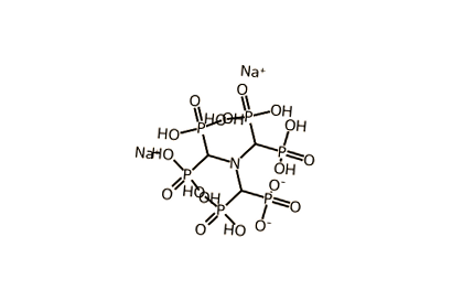 O=P([O-])([O-])C(N(C(P(=O)(O)O)P(=O)(O)O)C(P(=O)(O)O)P(=O)(O)O)P(=O)(O)O.[Na+].[Na+]